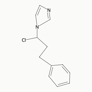 ClC(CCc1ccccc1)n1ccnc1